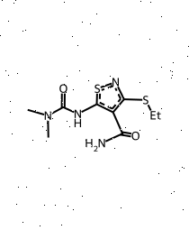 CCSc1nsc(NC(=O)N(C)C)c1C(N)=O